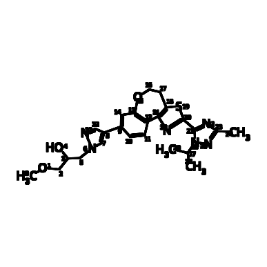 COCC(O)Cn1cc(-c2ccc3c(c2)OCCc2sc(-c4nc(C)nn4C(C)C)nc2-3)cn1